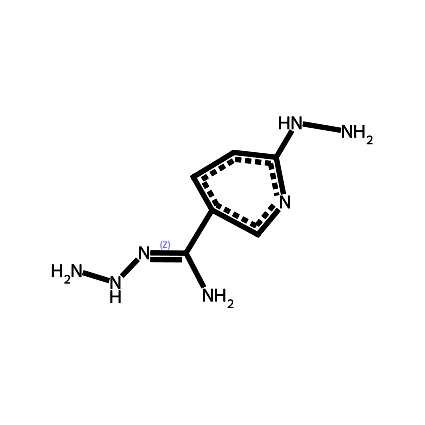 NN/N=C(\N)c1ccc(NN)nc1